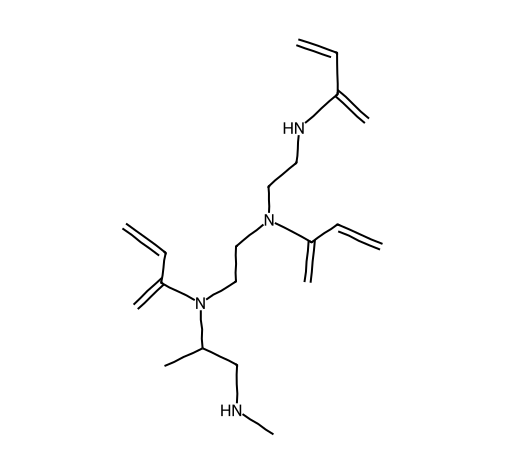 C=CC(=C)NCCN(CCN(C(=C)C=C)C(C)CNC)C(=C)C=C